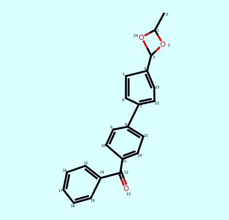 CC1OC(c2ccc(-c3ccc(C(=O)c4ccccc4)cc3)cc2)O1